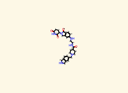 O=C1CCC(N2Cc3cc(NCCNC(=O)C4CCN(Cc5ccc6c(c5)CNC6)CC4)ccc3C2=O)C(=O)N1